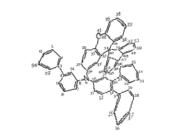 c1ccc(-c2cccc(N(c3ccc(-c4ccccc4)c(-c4ccccc4)c3)c3ccc4c(c3)C3(c5ccccc5O4)c4ccccc4-c4ccccc43)c2)cc1